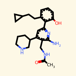 CC(=O)NCc1c(C2CCCNC2)cc(-c2c(O)cccc2CCC2CC2)nc1N